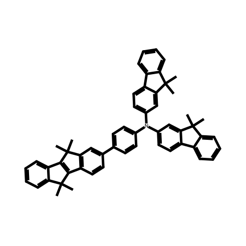 CC1(C)C2=C(c3ccccc31)C(C)(C)c1cc(-c3ccc(N(c4ccc5c(c4)C(C)(C)c4ccccc4-5)c4ccc5c(c4)C(C)(C)c4ccccc4-5)cc3)ccc12